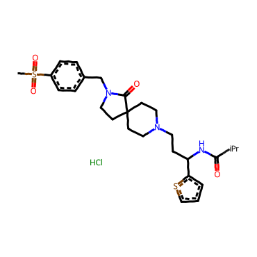 CC(C)C(=O)NC(CCN1CCC2(CC1)CCN(Cc1ccc(S(C)(=O)=O)cc1)C2=O)c1cccs1.Cl